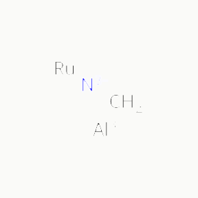 C.[Al+3].[N-3].[Ru]